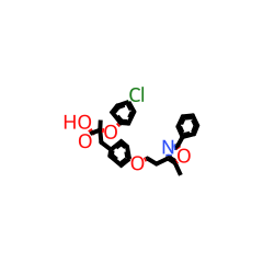 Cc1oc(-c2ccccc2)nc1CCOc1ccc(CC(C)(Oc2ccc(Cl)cc2)C(=O)O)cc1